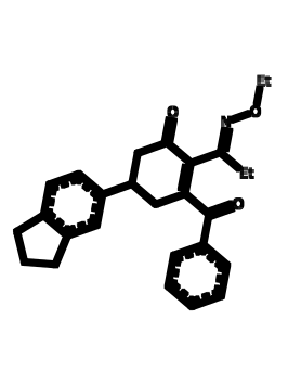 CCON=C(CC)C1=C(C(=O)c2ccccc2)CC(c2ccc3c(c2)CCC3)CC1=O